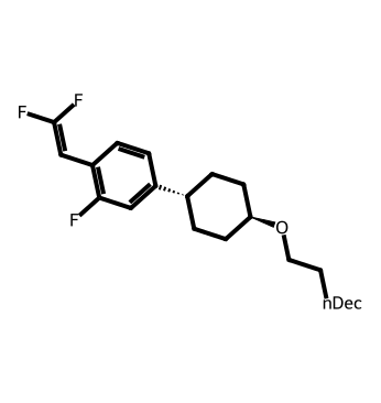 CCCCCCCCCCCCO[C@H]1CC[C@H](c2ccc(C=C(F)F)c(F)c2)CC1